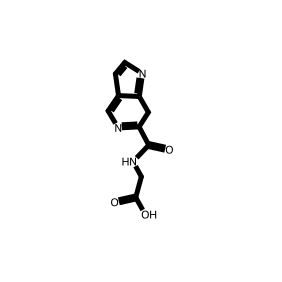 O=C(O)CNC(=O)C1=NC=C2C=CN=C2C1